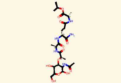 CC(=O)NC1C(O)OC(CO)C(O)C1O[C@H](C)C(=O)N[C@@H](C)C(=O)N[C@H](CCC(=O)N[C@@H](C)C(=O)OC(C)C)C(N)=O